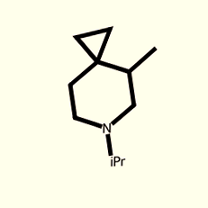 CC(C)N1CCC2(CC2)C(C)C1